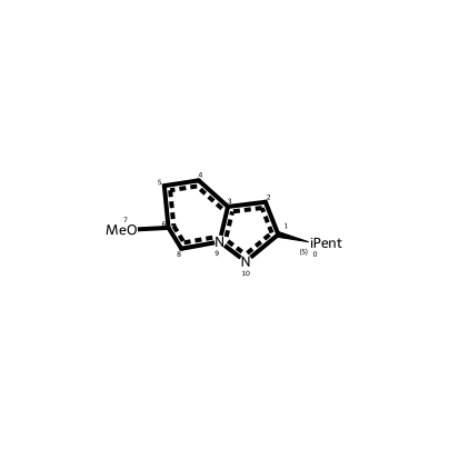 CCC[C@H](C)c1cc2ccc(OC)cn2n1